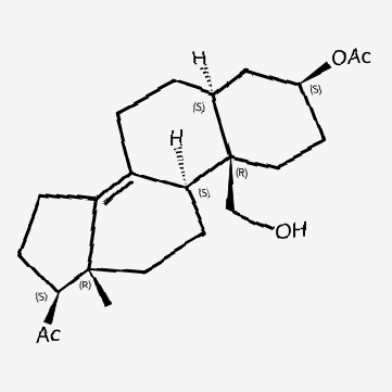 CC(=O)O[C@H]1CC[C@@]2(CO)[C@@H](CCC3=C4CC[C@H](C(C)=O)[C@@]4(C)CC[C@@H]32)C1